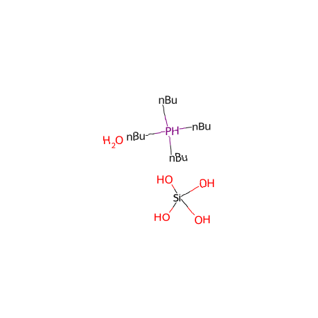 CCCC[PH](CCCC)(CCCC)CCCC.O.O[Si](O)(O)O